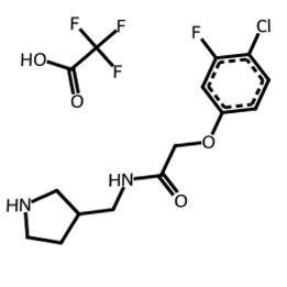 O=C(COc1ccc(Cl)c(F)c1)NCC1CCNC1.O=C(O)C(F)(F)F